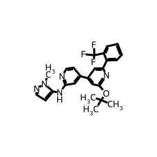 Cn1nccc1Nc1cc(-c2cc(OC(C)(C)C)nc(-c3ccccc3C(F)(F)F)c2)ccn1